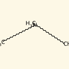 CCCCCCCCCCCCCCCCCCCCCN(C)CCCCCCCCCCCCCCCCCCCCC